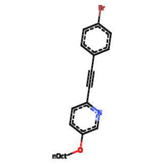 CCCCCCCCOc1ccc(C#Cc2ccc(Br)cc2)nc1